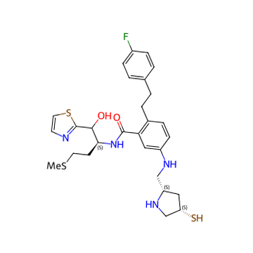 CSCC[C@H](NC(=O)c1cc(NC[C@@H]2C[C@H](S)CN2)ccc1CCc1ccc(F)cc1)C(O)c1nccs1